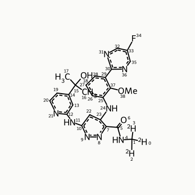 [2H]C([2H])([2H])NC(=O)c1nnc(Nc2cc(C(C)(C)O)ccn2)cc1Nc1cccc(-c2ncc(F)cn2)c1OC